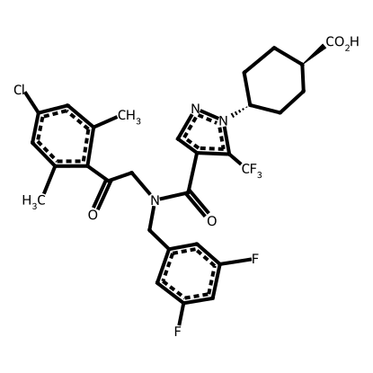 Cc1cc(Cl)cc(C)c1C(=O)CN(Cc1cc(F)cc(F)c1)C(=O)c1cnn([C@H]2CC[C@H](C(=O)O)CC2)c1C(F)(F)F